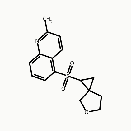 Cc1ccc2c(S(=O)(=O)C3CC34CCOC4)cccc2n1